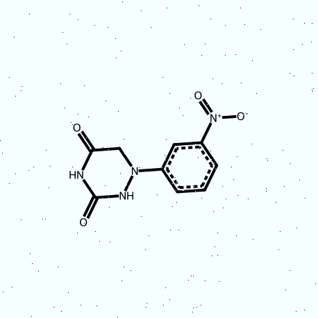 O=C1CN(c2cccc([N+](=O)[O-])c2)NC(=O)N1